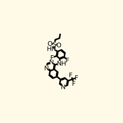 CCCS(=O)(=O)Nc1ccc(F)c(Nc2ncnc3ccc(-c4cncc(C(F)(F)F)c4)cc23)c1F